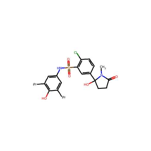 CC(C)c1cc(NS(=O)(=O)c2cc(C3(O)CCC(=O)N3C)ccc2Cl)cc(C(C)C)c1O